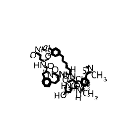 Cc1ncsc1-c1ccc([C@H](C)NC(=O)[C@@H]2C[C@@H](O)CN2C(=O)[C@@H](NC(=O)CCCCCc2ccc(Cl)c(OC[C@H](CCC(N)=O)NC(=O)[C@@H]3Cc4cccc5c4N3C(=O)[C@@H](N)CC5)c2)C(C)(C)C)cc1